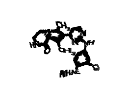 CC(=O)Nc1ccc(Nc2nccc(-c3c(C)c4n(c3C)CCNC4=O)n2)cc1Cl